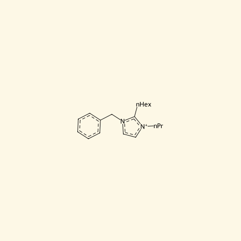 CCCCCCc1n(Cc2ccccc2)cc[n+]1CCC